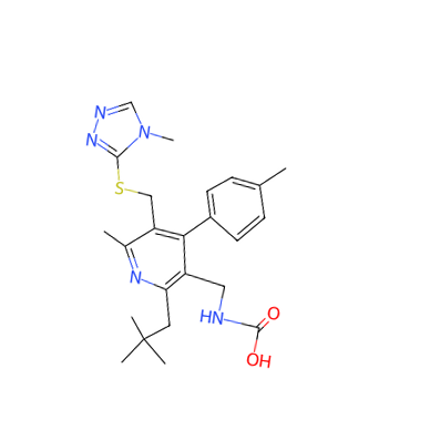 Cc1ccc(-c2c(CSc3nncn3C)c(C)nc(CC(C)(C)C)c2CNC(=O)O)cc1